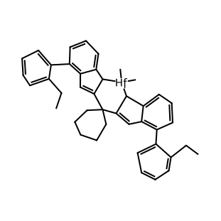 CCc1ccccc1-c1cccc2c1C=C1[CH]2[Hf]([CH3])([CH3])[CH]2C(=Cc3c(-c4ccccc4CC)cccc32)C12CCCCC2